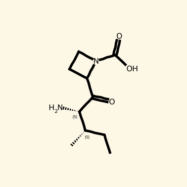 CC[C@H](C)[C@H](N)C(=O)C1CCN1C(=O)O